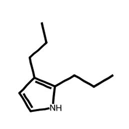 CCCc1cc[nH]c1CCC